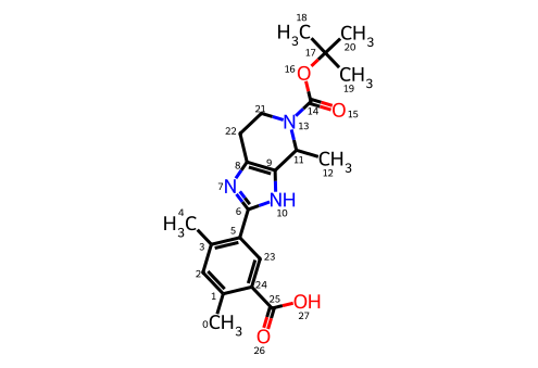 Cc1cc(C)c(-c2nc3c([nH]2)C(C)N(C(=O)OC(C)(C)C)CC3)cc1C(=O)O